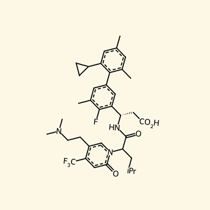 Cc1cc(C)c(-c2cc(C)c(F)c([C@H](CC(=O)O)NC(=O)C(CC(C)C)n3cc(CCN(C)C)c(C(F)(F)F)cc3=O)c2)c(C2CC2)c1